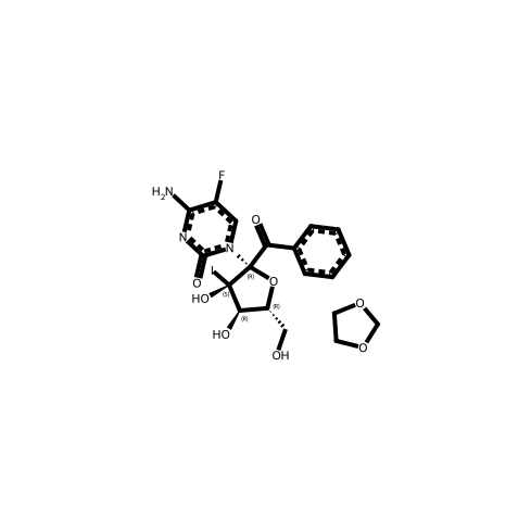 C1COCO1.Nc1nc(=O)n([C@]2(C(=O)c3ccccc3)O[C@H](CO)[C@@H](O)[C@]2(O)I)cc1F